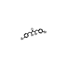 O=C(C(Br)Cc1ccc(Br)cc1)C(Br)Cc1ccc(Br)cc1